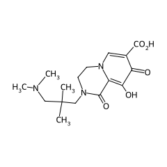 CN(C)CC(C)(C)CN1CCn2cc(C(=O)O)c(=O)c(O)c2C1=O